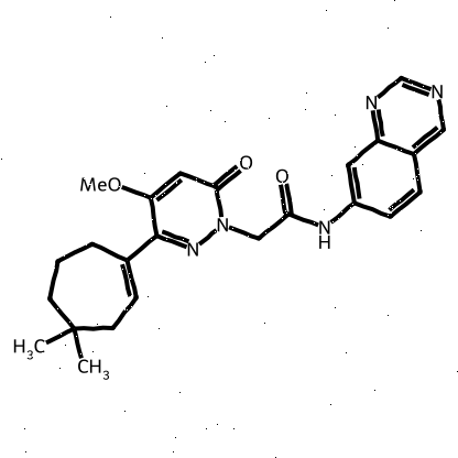 COc1cc(=O)n(CC(=O)Nc2ccc3cncnc3c2)nc1C1=CCC(C)(C)CCC1